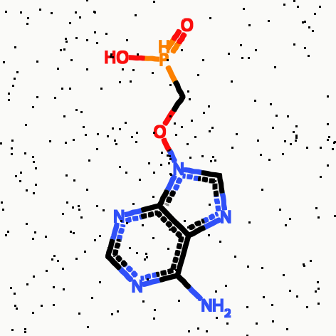 Nc1ncnc2c1ncn2OC[PH](=O)O